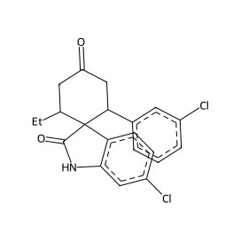 CCC1CC(=O)CC(c2cccc(Cl)c2)C12C(=O)Nc1cc(Cl)ccc12